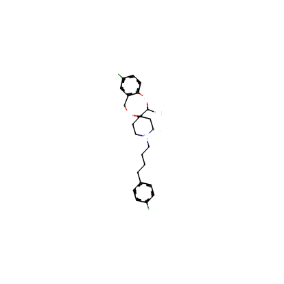 CC1Oc2ccc(F)cc2COC12CCN(CCCCc1ccc(F)cc1)CC2.Cl